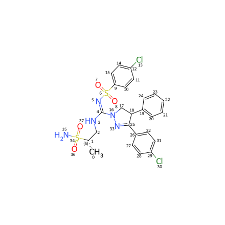 C[C@@H](CNC(=NS(=O)(=O)c1ccc(Cl)cc1)N1CC(c2ccccc2)C(c2ccc(Cl)cc2)=N1)S(N)(=O)=O